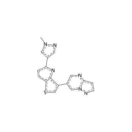 Cn1cc(-c2ccc3scc(-c4cnc5ccnn5c4)c3n2)cn1